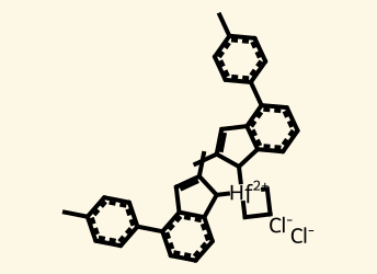 CC1=Cc2c(-c3ccc(C)cc3)cccc2[CH]1[Hf+2]1([CH]2C(C)=Cc3c(-c4ccc(C)cc4)cccc32)[CH2]C[CH2]1.[Cl-].[Cl-]